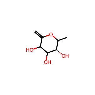 C=C1OC(C)[C@H](O)C(O)C1O